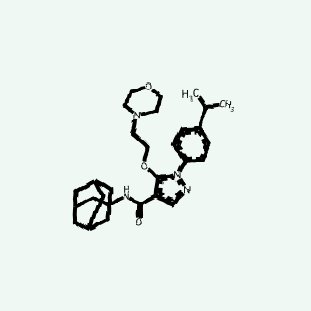 CC(C)c1ccc(-n2ncc(C(=O)NC34CC5CC(CC(C5)C3)C4)c2OCCN2CCOCC2)cc1